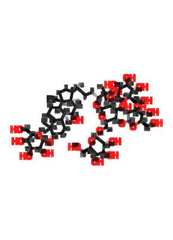 CC[C@@]12CCC([C@H](C)CC[C@@H](O[C@@H]3O[C@H](CO[C@H]4O[C@H](CO)[C@@H](O)[C@H](O)[C@H]4O)[C@@H](O[C@@H]4C[C@@H](O)[C@H](O)[C@@H](CO)O4)[C@H](O)[C@H]3O[C@@H]3O[C@H](CO)[C@@H](O)[C@H](O)[C@H]3O)C(C)(C)O)[C@@]1(C)C[C@@H](O)[C@@]1(C)C3CC[C@H](O[C@@H]4O[C@H](CO)[C@@H](O)[C@H](O)[C@H]4O)C(C)(C)C3=CCC12